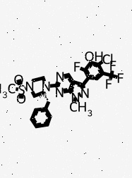 Cn1nc(-c2cc(C(F)(F)F)c(Cl)c(O)c2F)c2cnc(N3CCN(S(C)(=O)=O)C[C@H]3Cc3ccccc3)nc21